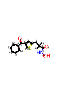 CC(C)(Cc1cc(C(=O)c2ccccc2)cs1)C(=O)NO